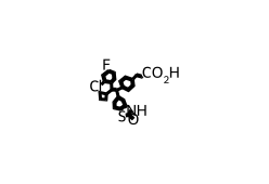 O=C(O)C=Cc1ccc(C(=C(c2ccc(F)cc2Cl)C2CCC2)c2ccc3sc(=O)[nH]c3c2)cc1